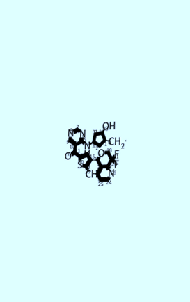 [CH2][C@@H]1C[C@@H](Nc2ncncc2C(=O)c2cc([C@@H]3OCC(F)(F)c4ncccc43)c(C)s2)C[C@@H]1O